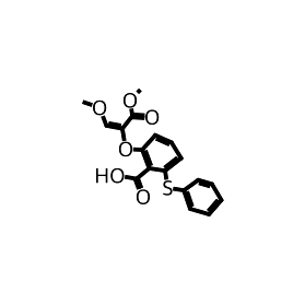 COC=C(Oc1cccc(Sc2ccccc2)c1C(=O)O)C(=O)OC